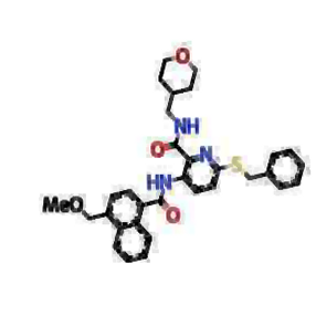 COCc1ccc(C(=O)Nc2ccc(SCc3ccccc3)nc2C(=O)NCC2CCOCC2)c2ccccc12